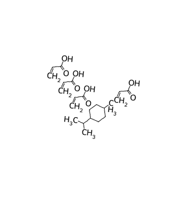 C=CC(=O)O.C=CC(=O)O.C=CC(=O)O.C=CC(=O)O.CC1CCC(C(C)C)CC1